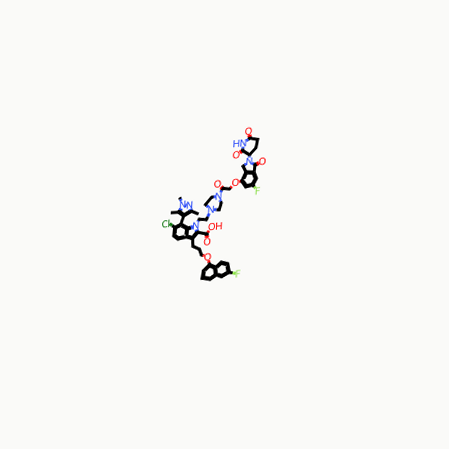 Cc1nn(C)c(C)c1-c1c(Cl)ccc2c(CCCOc3cccc4cc(F)ccc34)c(C(=O)O)n(CCN3CCN(C(=O)COc4cc(F)cc5c4CN(C4CCC(=O)NC4=O)C5=O)CC3)c12